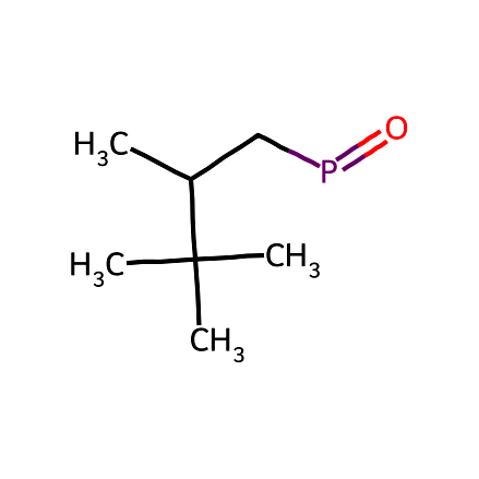 CC(CP=O)C(C)(C)C